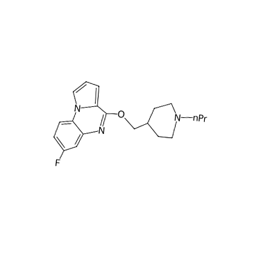 CCCN1CCC(COc2nc3cc(F)ccc3n3cccc23)CC1